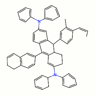 C/C=C\c1ccc(C2c3cc(N(c4ccccc4)c4ccccc4)ccc3C(c3ccc4c(c3)C=CCC4)=C3C=C(N(c4ccccc4)C4C=CC=CC4)CCC32)cc1C